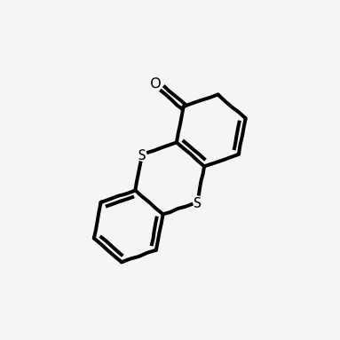 O=C1CC=CC2=C1Sc1ccccc1S2